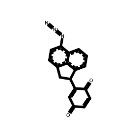 [N-]=[N+]=Nc1ccc2c3c(cccc13)C(C1=CC(=O)C=CC1=O)C2